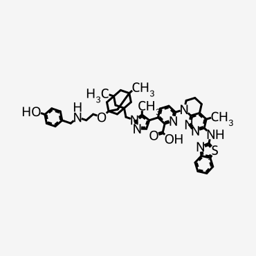 Cc1c(Nc2nc3ccccc3s2)nnc2c1CCCN2c1ccc(-c2cnn(CC34CC5(C)CC(C)(C3)CC(OCCNCc3ccc(O)cc3)(C5)C4)c2C)c(C(=O)O)n1